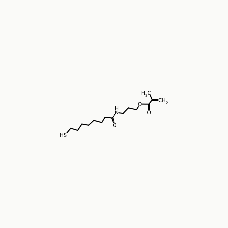 C=C(C)C(=O)OCCCNC(=O)CCCCCCCS